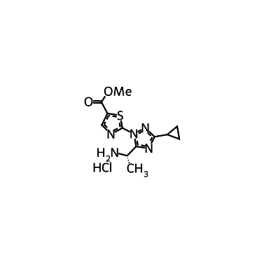 COC(=O)c1cnc(-n2nc(C3CC3)nc2[C@H](C)N)s1.Cl